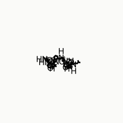 CN[C@@H](C)C(=O)N[C@H]1CCO[C@H]2CC(C)(C)C(c3nc4c(CN[C@@H](C)C(=O)N[C@H]5CCO[C@H]6CC(C)(C)C(C(=O)NCCC(C)C)N6C5=O)cccc4o3)N2C1=O